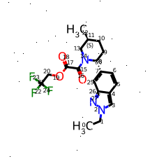 CCn1cc2ccc([C@H]3CC[C@H](C)CN3C(=O)C(=O)OCC(F)(F)F)cc2n1